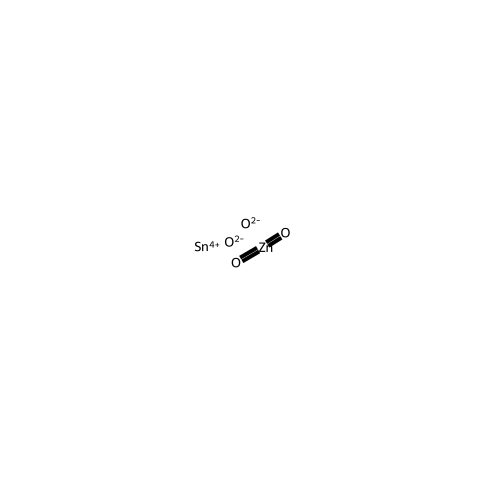 [O-2].[O-2].[O]=[Zn]=[O].[Sn+4]